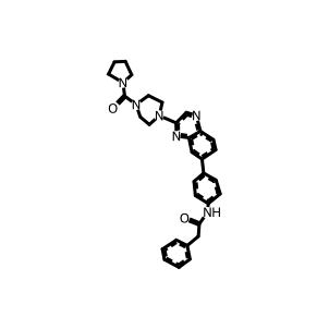 O=C(Cc1ccccc1)Nc1ccc(-c2ccc3ncc(N4CCN(C(=O)N5CCCC5)CC4)nc3c2)cc1